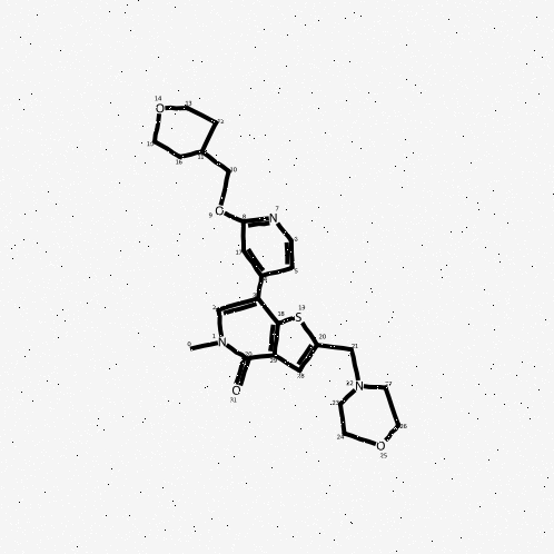 Cn1cc(-c2ccnc(OCC3CCOCC3)c2)c2sc(CN3CCOCC3)cc2c1=O